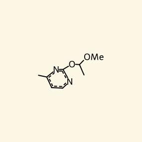 COC(C)Oc1nccc(C)n1